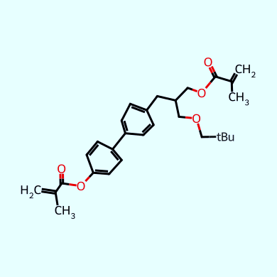 C=C(C)C(=O)OCC(COCC(C)(C)C)Cc1ccc(-c2ccc(OC(=O)C(=C)C)cc2)cc1